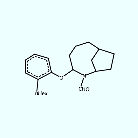 CCCCCCc1ccccc1OC1CCCC2CCC(C2)N1C=O